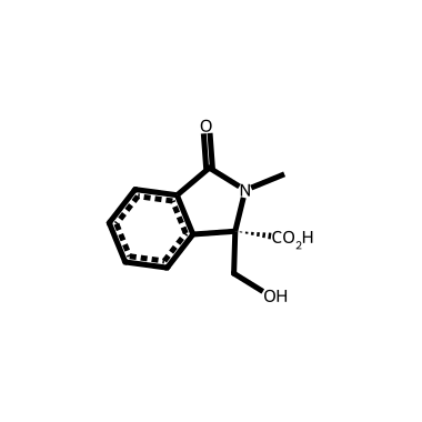 CN1C(=O)c2ccccc2[C@@]1(CO)C(=O)O